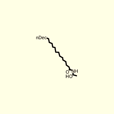 CCCCCCCCCCCCCCCCCCCCCCCC(=O)NC(C)O